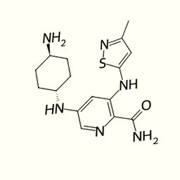 Cc1cc(Nc2cc(N[C@H]3CC[C@H](N)CC3)cnc2C(N)=O)sn1